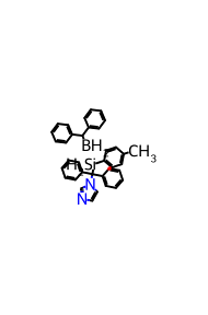 BC(c1ccccc1)c1ccccc1.Cc1ccc([SiH2]C(c2ccccc2)(c2ccccc2)n2ccnc2)cc1